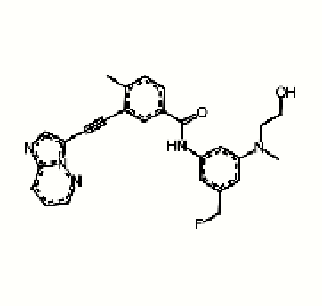 Cc1ccc(C(=O)Nc2cc(CF)cc(N(C)CCO)c2)cc1C#Cc1cnc2cccnn12